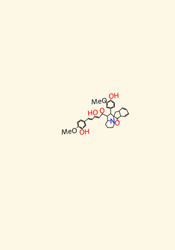 COc1ccc(/C=C/C(O)=C/C(=O)C2C3CCCCN3C3(CC4C=CC=CC4C3=O)C2c2ccc(O)c(OC)c2)cc1O